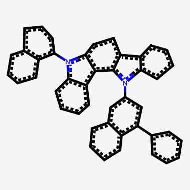 c1ccc(-c2cc(-n3c4ccccc4c4ccc5c(c6ccccc6n5-c5cccc6ccccc56)c43)cc3ccccc23)cc1